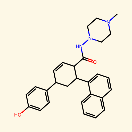 CN1CCN(NC(=O)C2C=CC(c3ccc(O)cc3)CC2c2cccc3ccccc23)CC1